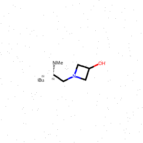 CC[C@H](C)[C@@H](CN1CC(O)C1)NC